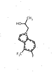 CC(O)Cn1ccc2c(C(F)(F)F)c(F)ccc21